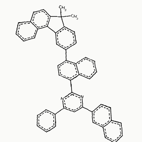 CC1(C)c2ccc(-c3ccc(-c4nc(-c5ccccc5)cc(-c5ccc6ccccc6c5)n4)c4ccccc34)cc2-c2c1ccc1ccccc21